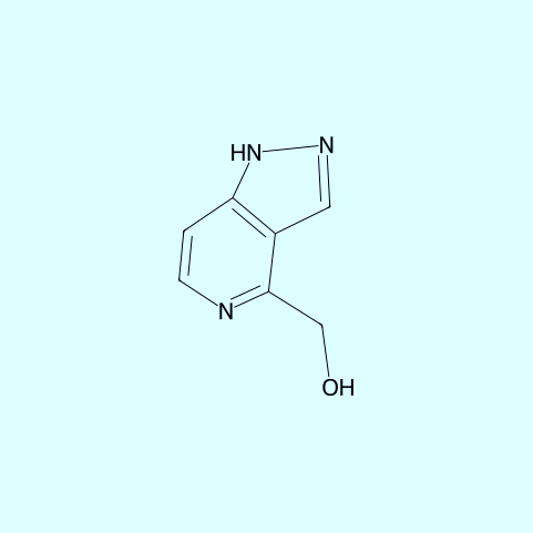 OCc1nccc2[nH]ncc12